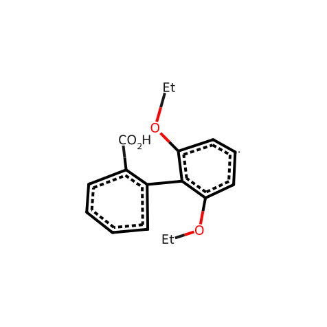 CCOc1c[c]cc(OCC)c1-c1ccccc1C(=O)O